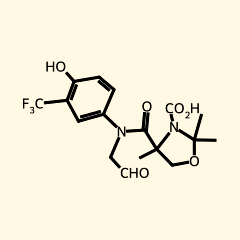 CC1(C)OCC(C)(C(=O)N(CC=O)c2ccc(O)c(C(F)(F)F)c2)N1C(=O)O